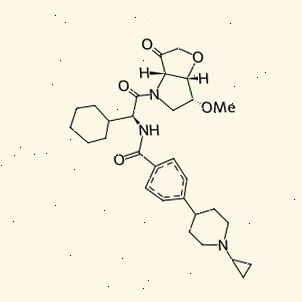 CO[C@@H]1CN(C(=O)[C@@H](NC(=O)c2ccc(C3CCN(C4CC4)CC3)cc2)C2CCCCC2)[C@@H]2C(=O)CO[C@@H]21